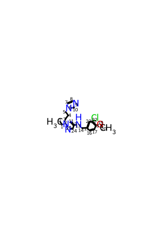 CC[N+]1(CCCn2ccnc2)C=C(NCc2ccc(OC)c(Cl)c2)C=N1